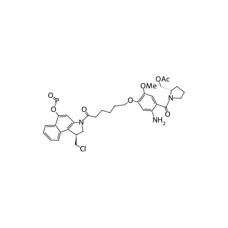 COc1cc(C(=O)N2CCC[C@H]2COC(C)=O)c(N)cc1OCCCCCC(=O)N1C[C@@H](CCl)c2c1cc(OP=O)c1ccccc21